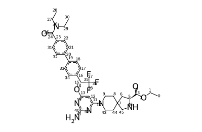 CCOC(=O)[C@@H]1CC2(CCN(c3cc(O[C@H](c4ccc(-c5ccc(C(=O)N(CC)CC)cc5)cc4)C(F)(F)F)nc(N)n3)CC2)CN1